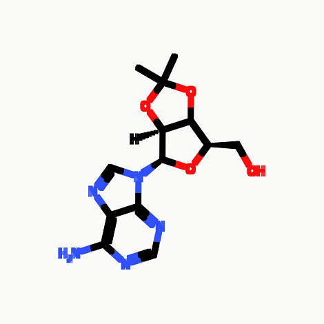 CC1(C)OC2[C@@H](CO)O[C@@H](n3cnc4c(N)ncnc43)[C@H]2O1